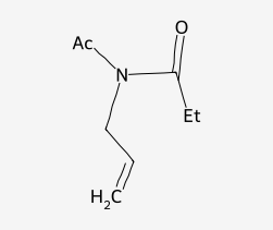 C=CCN(C(C)=O)C(=O)CC